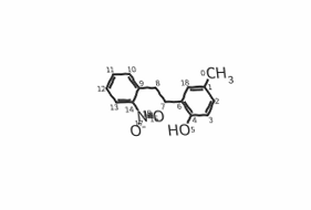 Cc1ccc(O)c(CCc2ccccc2[N+](=O)[O-])c1